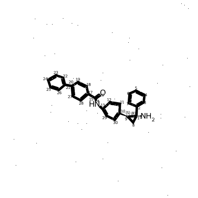 N[C@]1(c2ccccc2)C[C@H]1c1ccc(NC(=O)c2ccc(-c3ccccc3)cc2)cc1